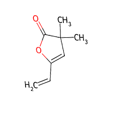 C=CC1=CC(C)(C)C(=O)O1